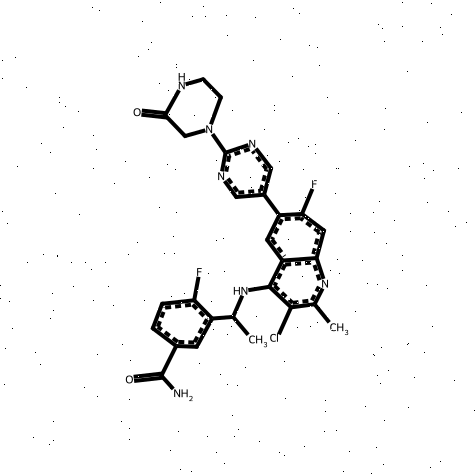 Cc1nc2cc(F)c(-c3cnc(N4CCNC(=O)C4)nc3)cc2c(NC(C)c2cc(C(N)=O)ccc2F)c1Cl